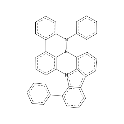 c1ccc(-c2cccc3c4cccc5c4n(c23)-c2cccc3c2B5N(c2ccccc2)c2ccccc2-3)cc1